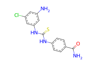 NC(=O)c1ccc(NC(=S)Nc2cc(N)cc(Cl)c2)cc1